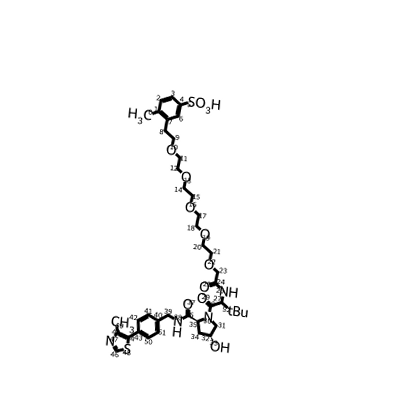 Cc1ccc(S(=O)(=O)O)cc1CCOCCOCCOCCOCCOCC(=O)NC(C(=O)N1C[C@H](O)C[C@H]1C(=O)NCc1ccc(-c2scnc2C)cc1)C(C)(C)C